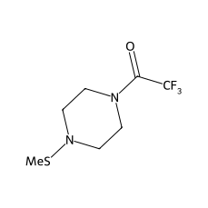 CSN1CCN(C(=O)C(F)(F)F)CC1